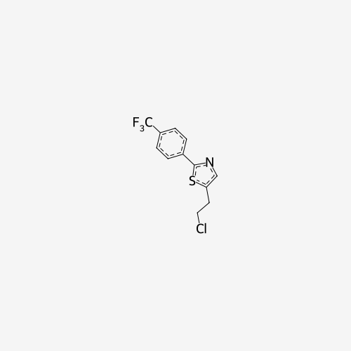 FC(F)(F)c1ccc(-c2ncc(CCCl)s2)cc1